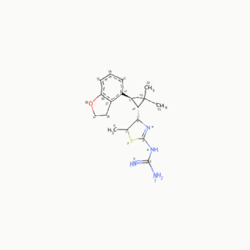 CC1SC(NC(=N)N)=NC1[C@@H]1[C@@H](c2cccc3c2CCO3)C1(C)C